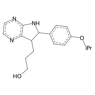 CC(C)Oc1ccc(C2Nc3nccnc3C2CCCO)cc1